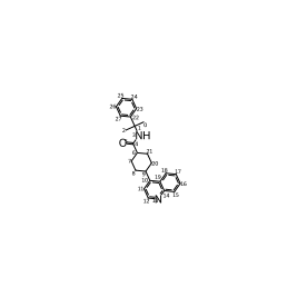 CC(C)(NC(=O)C1CCC(c2ccnc3ccccc23)CC1)c1ccccc1